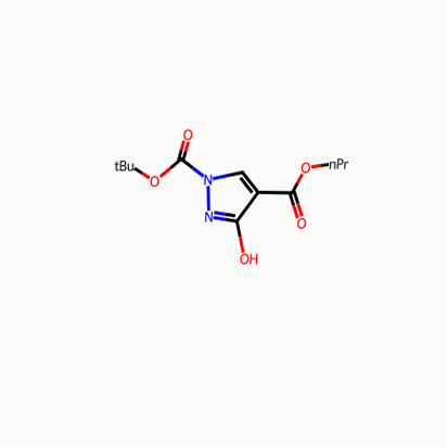 CCCOC(=O)c1cn(C(=O)OC(C)(C)C)nc1O